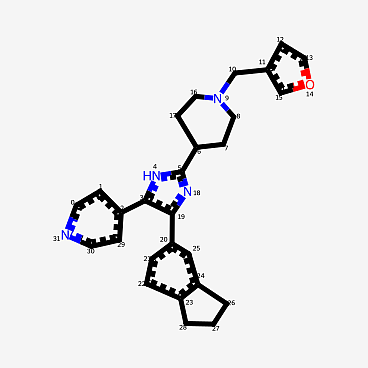 c1cc(-c2[nH]c(C3CCN(Cc4ccoc4)CC3)nc2-c2ccc3c(c2)CCC3)ccn1